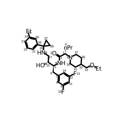 CCC[C@@H](C(=O)N[C@@H](Cc1cc(F)cc(F)c1)[C@H](O)CNC1(c2cccc(CC)c2)CC1)N1CCC(COCC)CC1